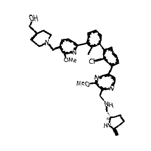 C=C1CC[C@@H](CNCc2ncc(-c3cccc(-c4cccc(-c5ccc(CN6CCC(CO)CC6)c(OC)n5)c4C)c3Cl)nc2OC)N1